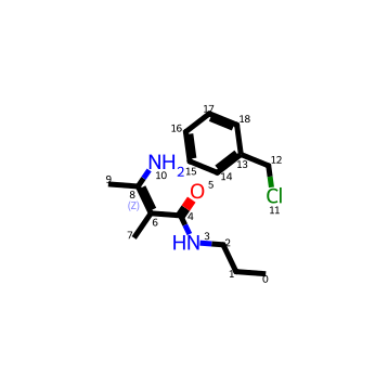 CCCNC(=O)/C(C)=C(/C)N.ClCc1ccccc1